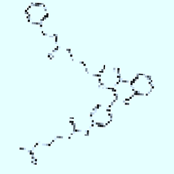 CC(=O)CCCCC(=O)Oc1ccc(-c2oc3ccccc3c(=O)c2OC(=O)CCCCC(=O)OCc2ccccc2)cc1